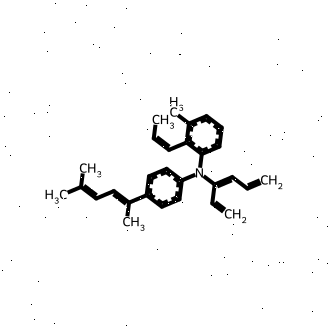 C=C/C=C(\C=C)N(c1ccc(/C(C)=C/C=C(C)C)cc1)c1cccc(C)c1/C=C\C